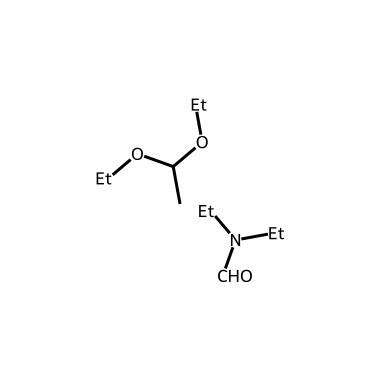 CCN(C=O)CC.CCOC(C)OCC